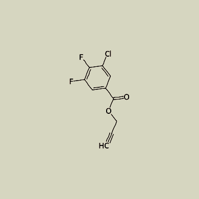 C#CCOC(=O)c1cc(F)c(F)c(Cl)c1